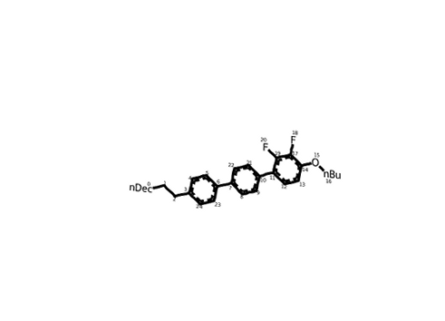 CCCCCCCCCCCCc1ccc(-c2ccc(-c3ccc(OCCCC)c(F)c3F)cc2)cc1